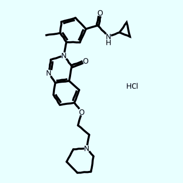 Cc1ccc(C(=O)NC2CC2)cc1-n1cnc2ccc(OCCN3CCCCC3)cc2c1=O.Cl